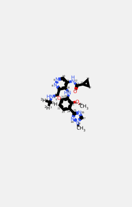 [2H]C([2H])([2H])NC(=O)c1nncc(NC(=O)C2CC2)c1Nc1cccc(-c2ncn(C)n2)c1OC